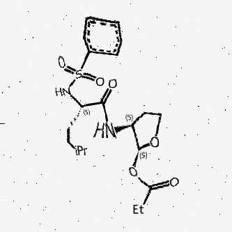 CCC(=O)O[C@@H]1OCC[C@@H]1NC(=O)[C@H](CC(C)C)NS(=O)(=O)c1ccccc1